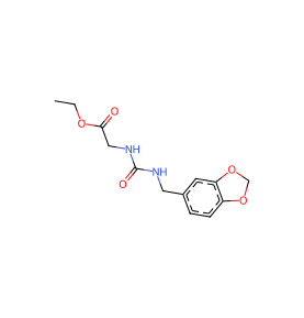 CCOC(=O)CNC(=O)NCc1ccc2c(c1)OCO2